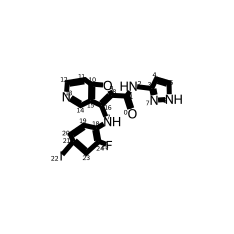 O=C(Nc1cc[nH]n1)c1oc2ccncc2c1Nc1ccc(I)cc1F